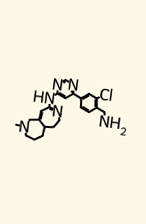 CN1CCCC2CCN=C(Nc3cc(-c4ccc(CN)c(Cl)c4)ncn3)C=C2C1